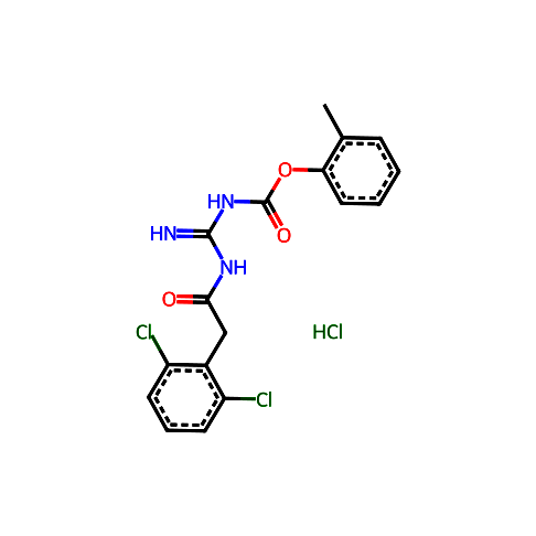 Cc1ccccc1OC(=O)NC(=N)NC(=O)Cc1c(Cl)cccc1Cl.Cl